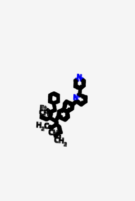 C=C\C=C/C(C(=C)C)=C(C(/C=C\C)=C(/CC)CC1C=CC=CC1)\c1ccc2cc(-c3cccc(-c4ccncc4)n3)ccc2c1